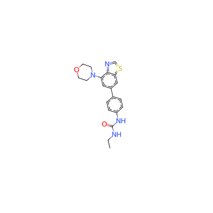 CCNC(=O)Nc1ccc(-c2cc(N3CCOCC3)c3ncsc3c2)cc1